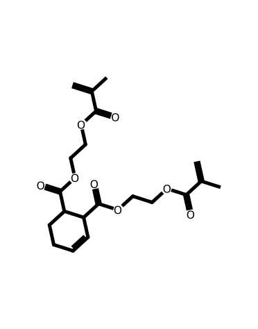 C=C(C)C(=O)OCCOC(=O)C1C=CCCC1C(=O)OCCOC(=O)C(=C)C